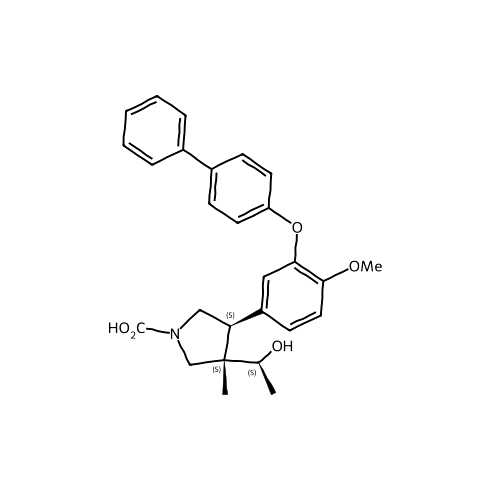 COc1ccc([C@@H]2CN(C(=O)O)C[C@@]2(C)[C@H](C)O)cc1Oc1ccc(-c2ccccc2)cc1